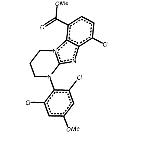 COC(=O)c1ccc(Cl)c2nc3n(c12)CCCN3c1c(Cl)cc(OC)cc1Cl